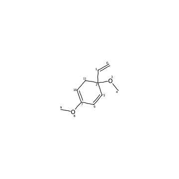 C=CC1(OC)C=CC(OC)=CC1